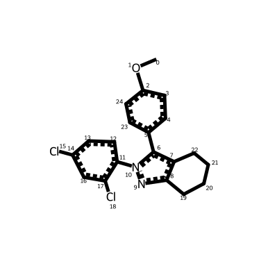 COc1ccc(-c2c3c(nn2-c2ccc(Cl)cc2Cl)CCCC3)cc1